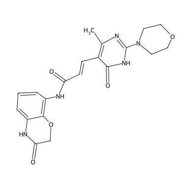 Cc1nc(N2CCOCC2)[nH]c(=O)c1C=CC(=O)Nc1cccc2c1OCC(=O)N2